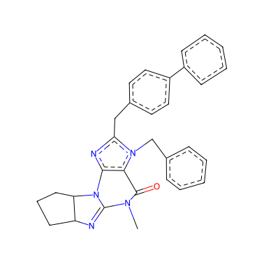 CN1C(=O)c2c(nc(Cc3ccc(-c4ccccc4)cc3)n2Cc2ccccc2)N2C1=NC1CCCC12